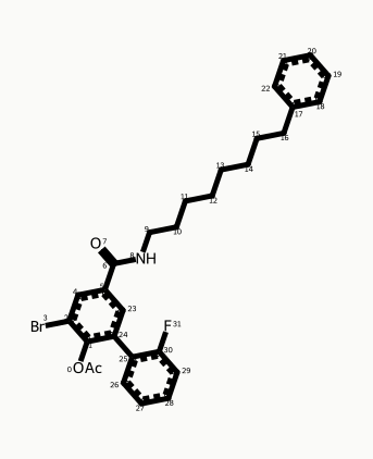 CC(=O)Oc1c(Br)cc(C(=O)NCCCCCCCCc2ccccc2)cc1-c1ccccc1F